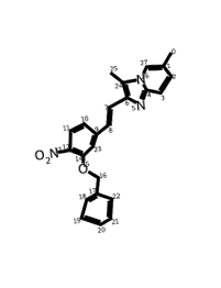 Cc1ccc2nc(/C=C/c3ccc([N+](=O)[O-])c(OCc4ccccc4)c3)c(C)n2c1